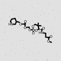 COC(=O)CCNC(=O)[C@@H]1OP(=O)(OCOC(=O)OCC2CCCNC2)OCC1(C)C